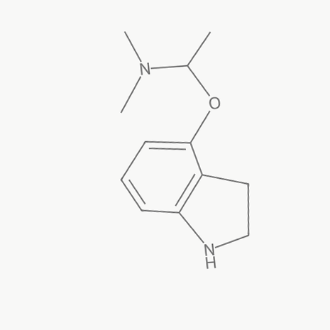 CC(Oc1cccc2c1CCN2)N(C)C